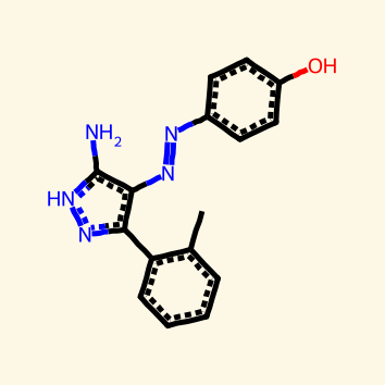 Cc1ccccc1-c1n[nH]c(N)c1/N=N/c1ccc(O)cc1